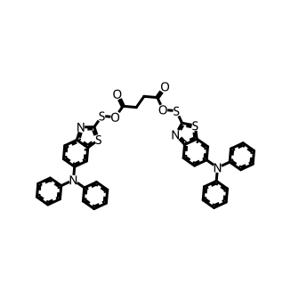 O=C(CCC(=O)OSc1nc2ccc(N(c3ccccc3)c3ccccc3)cc2s1)OSc1nc2ccc(N(c3ccccc3)c3ccccc3)cc2s1